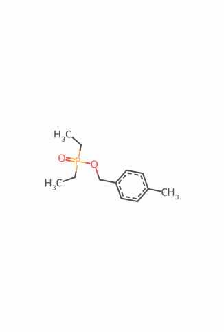 CCP(=O)(CC)OCc1ccc(C)cc1